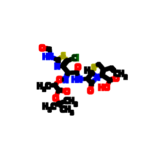 C=CC1=C(C(=O)O)N2C(=O)C(NC(=O)C(=NOC(C)C(=O)OC(C)(C)C)c3nc(NC=O)sc3Cl)[C@@H]2SC1